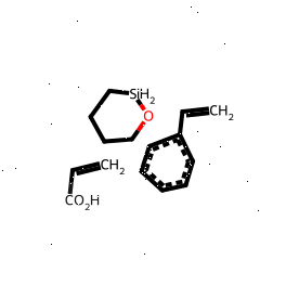 C1CC[SiH2]OC1.C=CC(=O)O.C=Cc1ccccc1